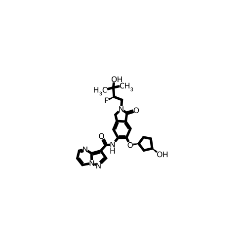 CC(C)(O)[C@H](F)CN1Cc2cc(NC(=O)c3cnn4cccnc34)c(O[C@H]3CC[C@@H](O)C3)cc2C1=O